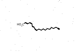 C#CCCCCCCCCC\C=C/C=C/C=C\C=C\C(=O)O